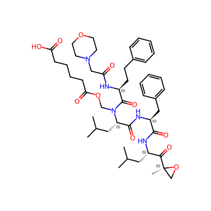 CC(C)C[C@H](NC(=O)[C@H](Cc1ccccc1)NC(=O)[C@H](CC(C)C)N(COC(=O)CCCCC(=O)O)C(=O)[C@H](CCc1ccccc1)NC(=O)CN1CCOCC1)C(=O)[C@]1(C)CO1